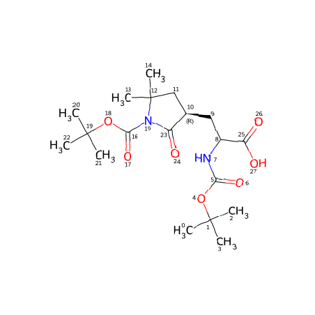 CC(C)(C)OC(=O)NC(C[C@@H]1CC(C)(C)N(C(=O)OC(C)(C)C)C1=O)C(=O)O